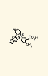 Cc1ccc(S(=O)(=O)N2CCNCC2c2ccc3cccc-3o2)cc1CC(=O)O